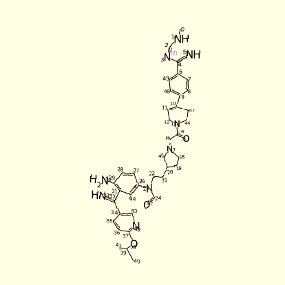 CN/C=N\C(=N)c1ccc(C2=CCN(C(=O)CN3CCC(CCN(C=O)c4ccc(N)c(C(=N)c5ccc(OC(C)C)nc5)c4)C3)CC2)cc1